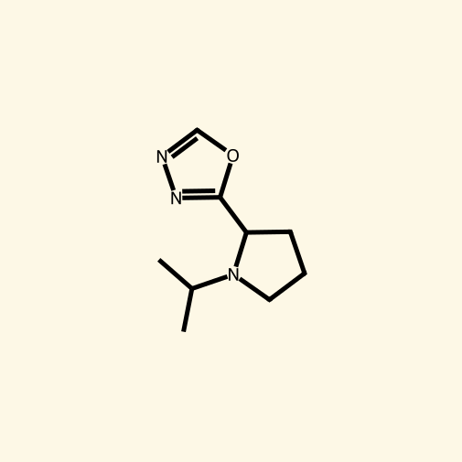 CC(C)N1CCCC1c1nnco1